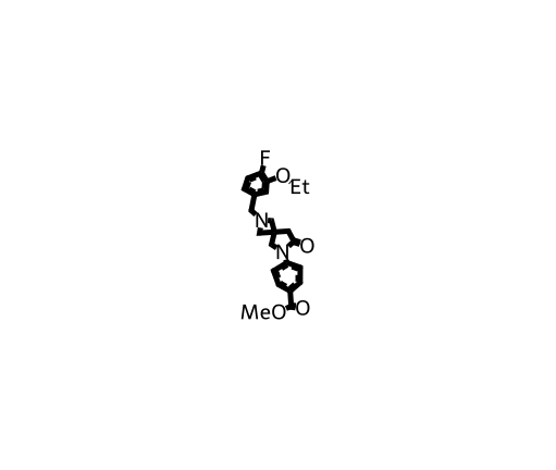 CCOc1cc(CN2CC3(CC(=O)N(c4ccc(C(=O)OC)cc4)C3)C2)ccc1F